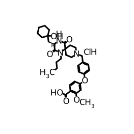 CCCCN1C(=O)[C@@H](CC2(O)CCCCC2)NC(=O)C12CCN(Cc1ccc(Oc3ccc(C(=O)O)c(OC)c3)cc1)CC2.Cl